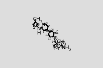 Cc1csc(Nc2cc(-c3ccc(OC[C@](C)(CC(C)C)OC(N)=O)c(Cl)c3)ccn2)n1